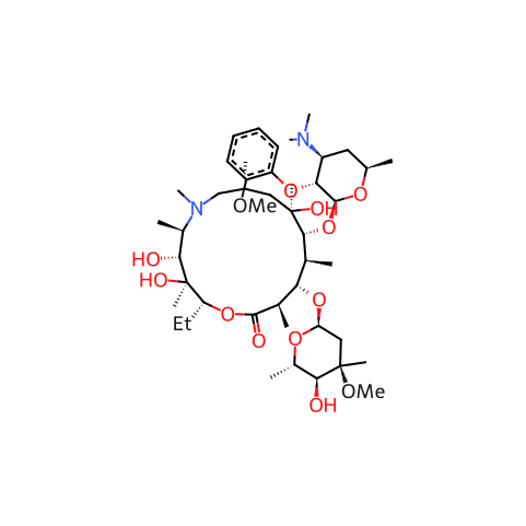 CC[C@H]1OC(=O)[C@H](C)[C@@H](O[C@H]2C[C@@](C)(OC)[C@@H](O)[C@H](C)O2)[C@H](C)[C@@H](O[C@@H]2O[C@H](C)C[C@H](N(C)C)[C@H]2Oc2ccccc2OC)[C@](C)(O)C[C@@H](C)CN(C)[C@H](C)[C@@H](O)[C@]1(C)O